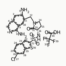 Nc1cc2ccnc(N)c2cc1CN1CC[C@H](NS(=O)(=O)c2cc3ccc(Cl)cc3s2)C1=O.O=C(O)C(F)(F)F